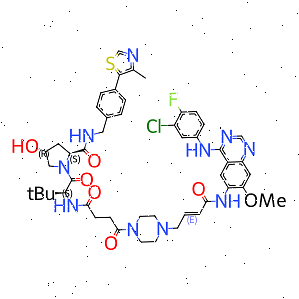 COc1cc2ncnc(Nc3ccc(F)c(Cl)c3)c2cc1NC(=O)/C=C/CN1CCN(C(=O)CCC(=O)N[C@H](C(=O)N2C[C@H](O)C[C@H]2C(=O)NCc2ccc(-c3scnc3C)cc2)C(C)(C)C)CC1